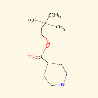 CC(C)(C)COC(=O)C1CC[N]CC1